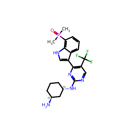 CP(C)(=O)c1cccc2c(-c3nc(N[C@H]4CCC[C@H](N)C4)ncc3C(F)(F)F)c[nH]c12